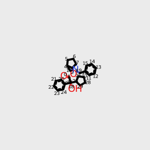 O=C(OC1C2CCC1N(Cc1ccccc1)C2)C(O)(c1ccccc1)C1CCCC1